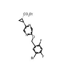 CCOC(=O)[C@H]1C[C@@H]1c1cnc(OCc2cc(Br)c(F)cc2F)cn1